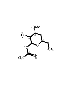 CO[C@@H]1CC(COC(C)=O)OC(OC(=N)C(Cl)(Cl)Cl)C1C